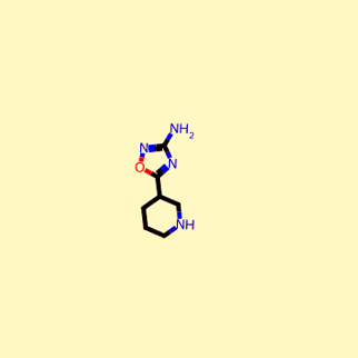 Nc1noc(C2CCCNC2)n1